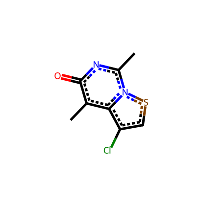 Cc1c(=O)nc(C)n2scc(Cl)c12